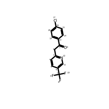 O=C(Cc1ccc(C(F)(F)F)cn1)c1ccc(Cl)cc1